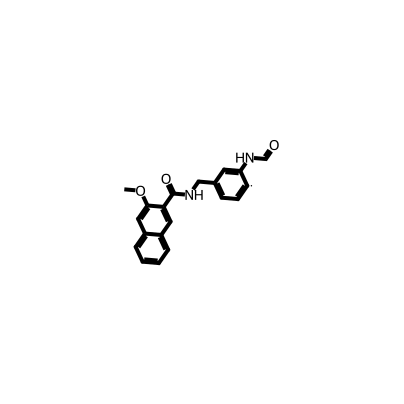 COc1cc2ccccc2cc1C(=O)NCc1cc[c]c(NC=O)c1